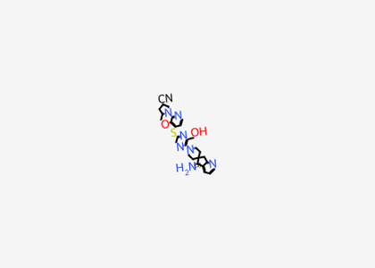 N#CC1CC2COc3c(Sc4cnc(N5CCC6(CC5)Cc5ncccc5[C@H]6N)c(CO)n4)ccnc3N2C1